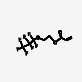 C=CC(=O)OCCOC(F)(F)C(F)(F)C(F)(F)F